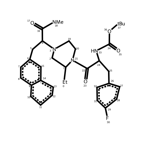 CCC1CN(C(Cc2ccc3ccccc3c2)C(=O)NC)CCN1C(=O)C(Cc1ccc(F)cc1)NC(=O)OC(C)(C)C